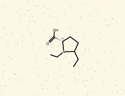 CCC1CC[C@@H](C(=O)O)N1CC